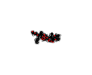 c1ccc(-c2nc(-c3ccc(-c4ccc5sc6ccc7c(c6c5c4)c4c5ccccc5oc4c4c5ccccc5n(-c5nc(-c6ccc8c(c6)oc6ccccc68)nc(-c6ccc8c(c6)oc6ccccc68)n5)c74)c4oc5ccccc5c34)nc(-n3c4ccccc4c4c5sc6ccccc6c5c5c(ccc6sc7ccccc7c65)c43)n2)cc1